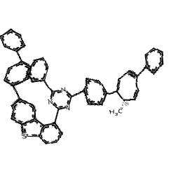 C[C@H]1C=CC(c2ccccc2)=CC=C1c1ccc(-c2nc(-c3ccccc3)nc(-c3cccc4sc5ccc(-c6ccc(-c7ccccc7)cc6)cc5c34)n2)cc1